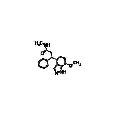 CNC(=O)C[C@H](c1ccccc1)c1ccc(OC)c2[nH]ncc12